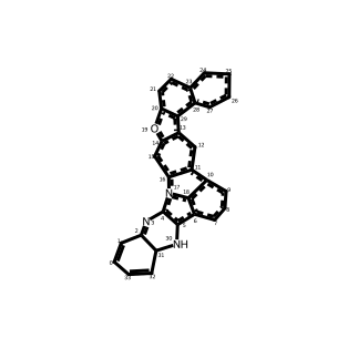 C1=CC2=Nc3c(c4cccc5c6cc7c(cc6n3c45)oc3ccc4ccccc4c37)NC2C=C1